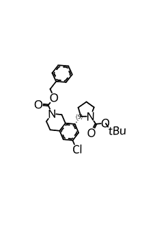 CC(C)(C)OC(=O)N1CCC[C@H]1c1cc(Cl)cc2c1CN(C(=O)OCc1ccccc1)CC2